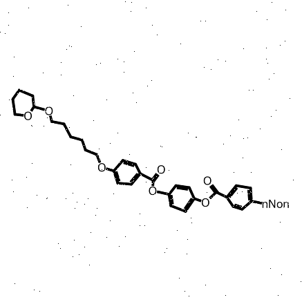 CCCCCCCCCc1ccc(C(=O)Oc2ccc(OC(=O)c3ccc(OCCCCCCOC4CCCCO4)cc3)cc2)cc1